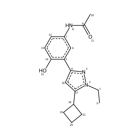 CCn1nc(-c2cc(NC(C)=O)ccc2O)cc1C1CCC1